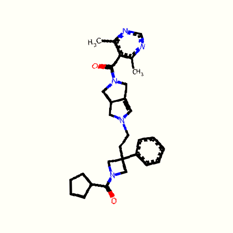 Cc1ncnc(C)c1C(=O)N1CC2=CN(CCC3(c4ccccc4)CN(C(=O)C4CCCC4)C3)CC2C1